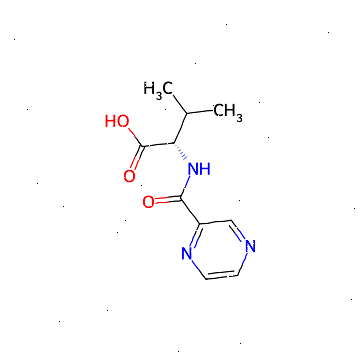 CC(C)[C@H](NC(=O)c1cnccn1)C(=O)O